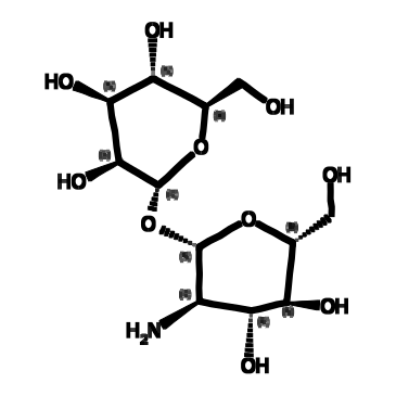 N[C@H]1[C@H](O[C@H]2O[C@H](CO)[C@@H](O)[C@H](O)[C@@H]2O)O[C@H](CO)[C@@H](O)[C@@H]1O